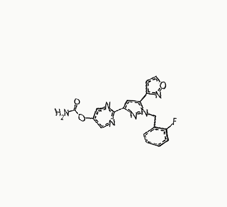 NC(=O)Oc1cnc(-c2cc(-c3ccon3)n(Cc3ccccc3F)n2)nc1